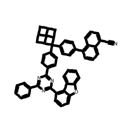 N#Cc1cccc2c(-c3ccc(C4(c5ccc(-c6nc(-c7ccccc7)nc(-c7cccc8oc9ccccc9c78)n6)cc5)C5CC6CC7CC4C675)cc3)cccc12